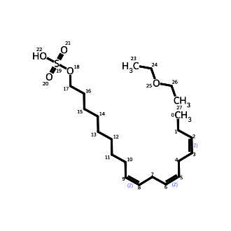 CC/C=C\C/C=C\C/C=C\CCCCCCCCOS(=O)(=O)O.CCOCC